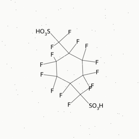 O=S(=O)(O)C(F)(F)C1(F)C(F)(F)C(F)(F)C(F)(C(F)(F)S(=O)(=O)O)C(F)(F)C1(F)F